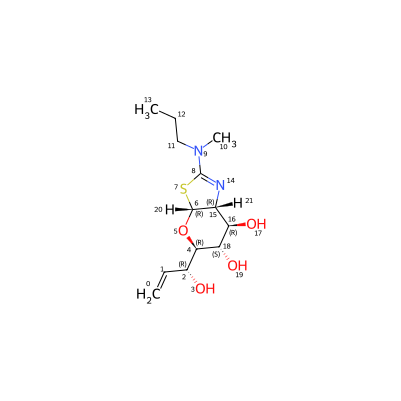 C=C[C@@H](O)[C@H]1O[C@@H]2SC(N(C)CCC)=N[C@@H]2[C@@H](O)[C@@H]1O